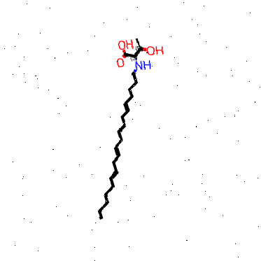 CCCCCC=CCC=CCC=CCC=CCCCCN[C@H](C(=O)O)[C@@H](C)O